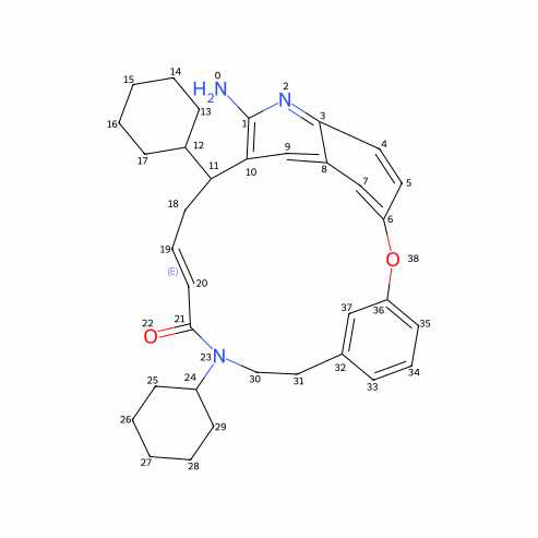 Nc1nc2ccc3cc2cc1C(C1CCCCC1)C/C=C/C(=O)N(C1CCCCC1)CCc1cccc(c1)O3